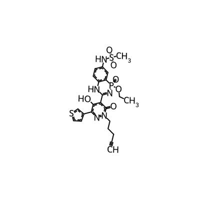 C#CCCCn1nc(-c2ccsc2)c(O)c(C2=NP(=O)(OCC)c3cc(NS(C)(=O)=O)ccc3N2)c1=O